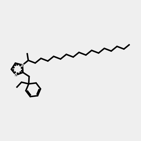 CCCCCCCCCCCCCCCCC(C)n1ccnc1CC1(CC)C=CC=CC1